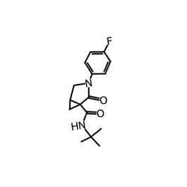 CC(C)(C)NC(=O)C12CC1CN(c1ccc(F)cc1)C2=O